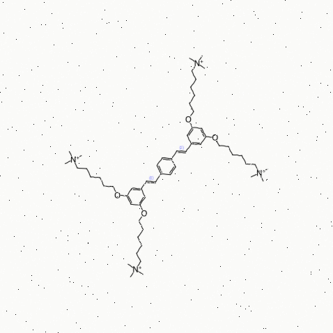 C[N+](C)(C)CCCCCCOc1cc(/C=C/c2ccc(/C=C/c3cc(OCCCCCC[N+](C)(C)C)cc(OCCCCCC[N+](C)(C)C)c3)cc2)cc(OCCCCCC[N+](C)(C)C)c1